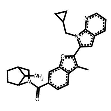 Cc1c(-c2cc3cccnc3n2CC2CC2)oc2cc(C(=O)N3CC4CCC3C4N)ccc12